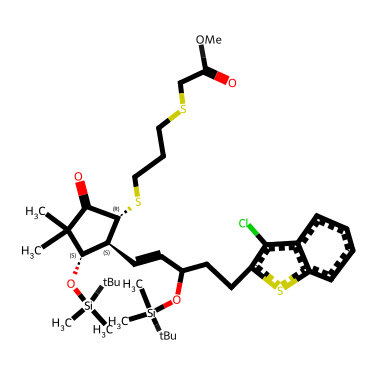 COC(=O)CSCCCS[C@H]1C(=O)C(C)(C)[C@@H](O[Si](C)(C)C(C)(C)C)[C@@H]1C=CC(CCc1sc2ccccc2c1Cl)O[Si](C)(C)C(C)(C)C